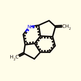 C=C1Cc2ccc3c4c(ncc1c24)CC3=C